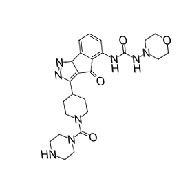 O=C(Nc1cccc2c1C(=O)C1=C(C3CCN(C(=O)N4CCNCC4)CC3)N=NC12)NN1CCOCC1